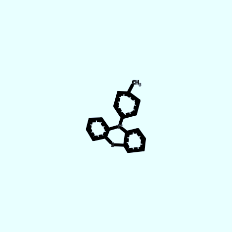 Cc1ccc([S+]2c3ccccc3Sc3ccccc32)cc1